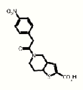 O=C(O)C1=CC2CN(C(=O)Cc3ccc([N+](=O)[O-])cc3)CCC2S1